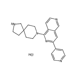 Cl.c1cc(-c2cc3cnccc3c(N3CCC4(CCNC4)CC3)n2)ccn1